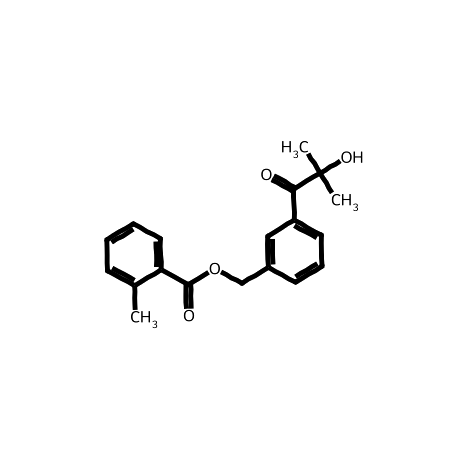 Cc1ccccc1C(=O)OCc1cccc(C(=O)C(C)(C)O)c1